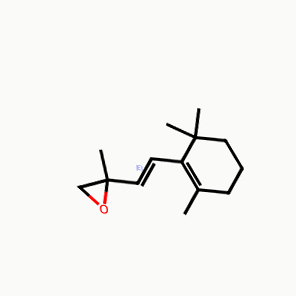 CC1=C(/C=C/C2(C)CO2)C(C)(C)CCC1